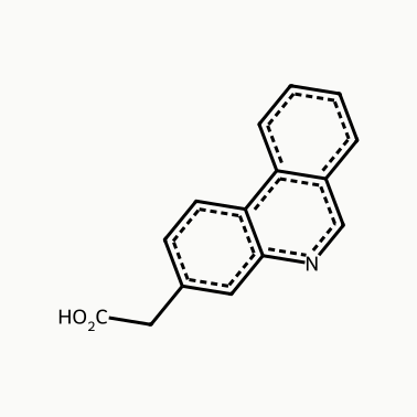 O=C(O)Cc1ccc2c(c1)ncc1ccccc12